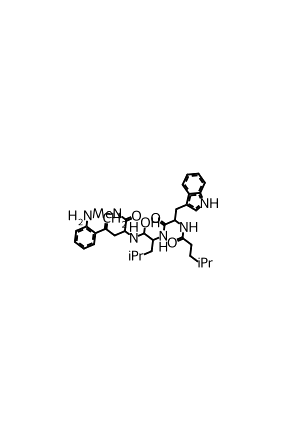 C=C(CC(NC(O)C(CC(C)C)NC(=O)C(Cc1c[nH]c2ccccc12)NC(=O)CCC(C)C)C(=O)NC)c1ccccc1N